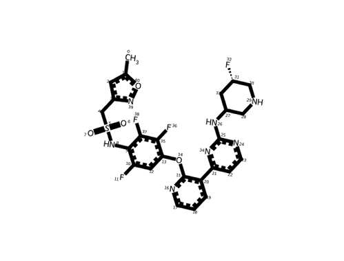 Cc1cc(CS(=O)(=O)Nc2c(F)cc(Oc3ncccc3-c3ccnc(NC4CNC[C@@H](F)C4)n3)c(F)c2F)no1